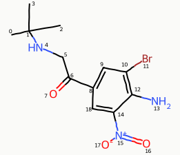 CC(C)(C)NCC(=O)c1cc(Br)c(N)c([N+](=O)[O-])c1